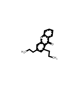 CCCc1cc(CCC)c2c(=O)c3ccccc3sc2c1